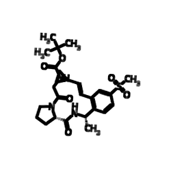 C[C@H](NC(=O)[C@@H]1CCCN1C(=O)CNC(=O)OC(C)(C)C)c1ccc(S(C)(=O)=O)cc1/C=C/C1CC1